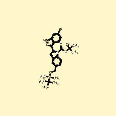 CC(C)(C)OC(=O)n1c(-c2n[nH]c3cc(Br)ccc23)cc2cc(CO[Si](C)(C)C(C)(C)C)ccc21